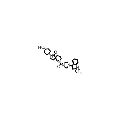 O=C(N1CCN(c2cc(C(F)(F)F)nc3ccccc23)CC1)N1CCCC2(CCN([C@H]3CC[C@H](O)CC3)C2=O)C1